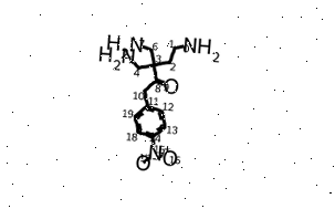 NCCC(CN)(CN)C(=O)Cc1ccc([N+](=O)[O-])cc1